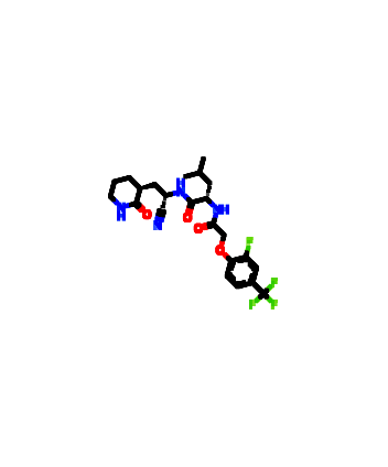 CC(C)C[C@H](NC(=O)COc1ccc(C(F)(F)F)cc1F)C(=O)N[C@H](C#N)C[C@@H]1CCCNC1=O